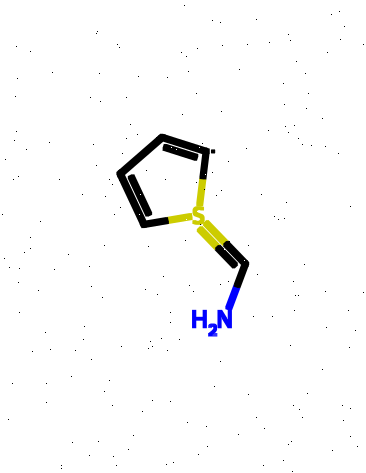 NC=S1[C]=CC=C1